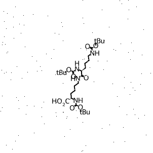 CC(C)(C)OC(=O)NCCCC[C@H](NC(=O)OC(C)(C)C)C(=O)NCCCC[C@H](NC(=O)OC(C)(C)C)C(=O)O